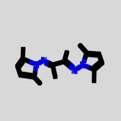 CC(=N\n1c(C)ccc1C)/C(C)=N/n1c(C)ccc1C